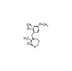 COc1ccc(CN2CCCSN3OC23C)c(OC)c1